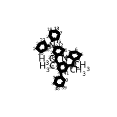 CC1(C)c2ccccc2N2c3ccc(N(c4ccccc4)c4ccccc4)cc3C(C)(C)c3cc(-c4ccccc4)cc1c32